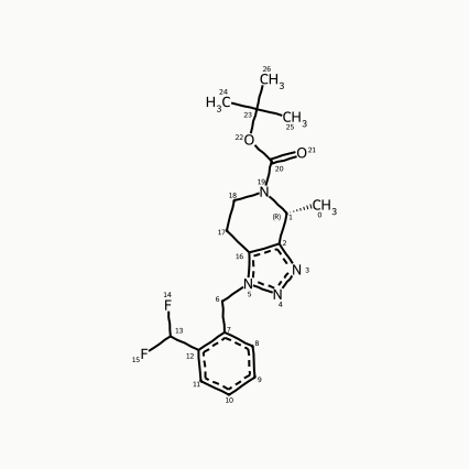 C[C@@H]1c2nnn(Cc3ccccc3C(F)F)c2CCN1C(=O)OC(C)(C)C